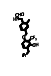 Cc1cc(COc2ccc(CC(C)C)c(O)c2C(F)(F)F)ccc1CNC=O